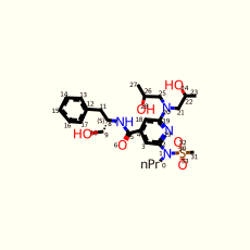 CCCN(c1cc(C(=O)N[C@H](CO)Cc2ccccc2)cc(N(CC(C)O)CC(C)O)n1)S(C)(=O)=O